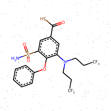 NS(=O)(=O)c1cc(C(=O)S)cc(N(CCC(F)(F)F)CCC(F)(F)F)c1Oc1ccccc1